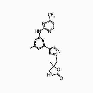 Cc1cc(Nc2nccc(C(F)(F)F)n2)cc(-c2cnn(CC3(C)CNC(=O)O3)c2)c1